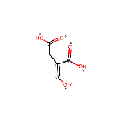 O=C(O)CC(=CO)C(=O)O